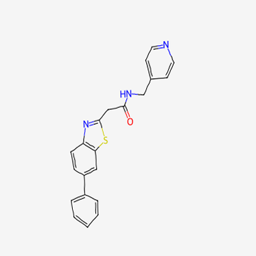 O=C(Cc1nc2ccc(-c3ccccc3)cc2s1)NCc1ccncc1